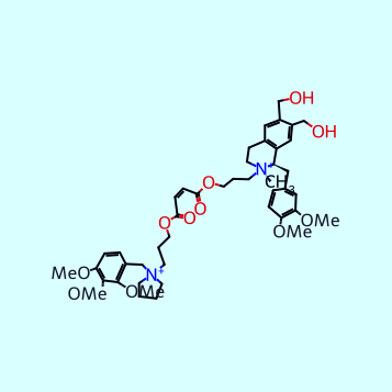 COc1ccc(C[C@@H]2c3cc(CO)c(CO)cc3CC[N@@+]2(C)CCCOC(=O)/C=C\C(=O)OCCC[N+]2(Cc3ccc(OC)c(OC)c3OC)CCCC2)cc1OC